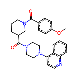 COc1ccc(C(=O)N2CCCC(C(=O)N3CCN(c4ccnc5ccccc45)CC3)C2)cc1